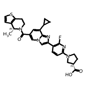 C[C@@H]1c2ccsc2CCN1C(=O)c1cc(C2CC2)c2nc(-c3ccc(N4CC[C@H](C(=O)O)C4)nc3F)cn2c1